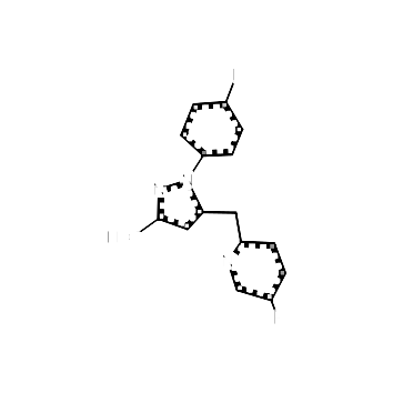 Cc1cc(Cc2ccc(F)cn2)n(-c2ccc(F)cc2)n1